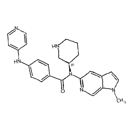 Cn1ccc2cc(N(C(=O)c3ccc(Nc4ccncc4)cc3)[C@@H]3CCCNC3)ncc21